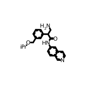 CC(C)OCc1cccc(C(CN)C(=O)Nc2ccc3cnccc3c2)c1